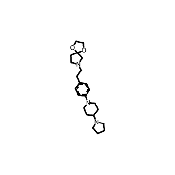 c1cc(N2CCC(N3CCCC3)CC2)ccc1CCN1CCC2(C1)OCCO2